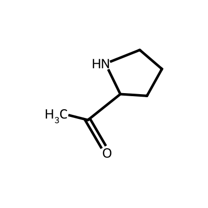 CC(=O)C1CCCN1